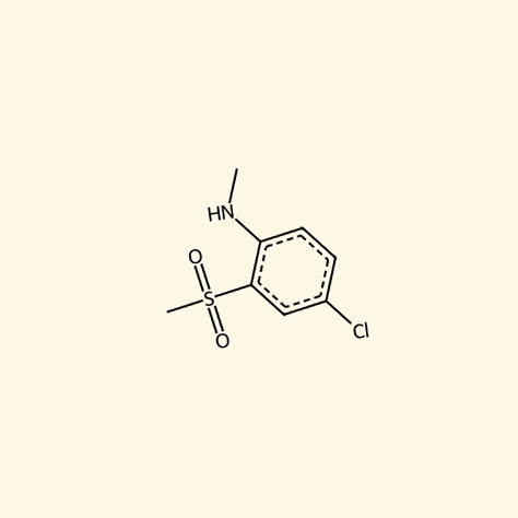 CNc1ccc(Cl)cc1S(C)(=O)=O